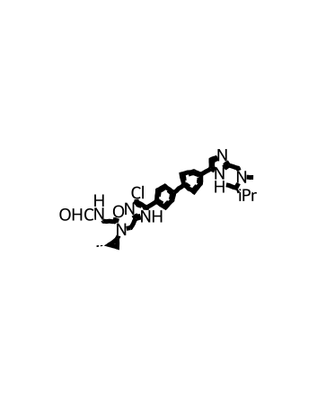 CC(C)[C@@H](C)N(C)Cc1ncc(-c2ccc(-c3ccc(-c4[nH]c(CN(C(=O)CNC=O)C5C[C@@H]5C)nc4Cl)cc3)cc2)[nH]1